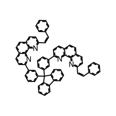 C(=C/c1ccc2ccc3ccc(-c4cccc(C5(c6cccc(-c7ccc8ccc9ccc(/C=C\c%10ccccc%10)nc9c8n7)c6)c6ccccc6-c6ccccc65)c4)nc3c2n1)/c1ccccc1